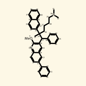 COc1nc2ccc(-c3ccccc3)cc2cc1C(c1ccccc1)C(C)(CCCCN(C)C)c1ccc2ccccc2c1